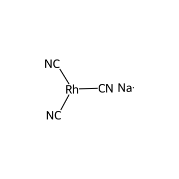 N#[C][Rh]([C]#N)[C]#N.[Na]